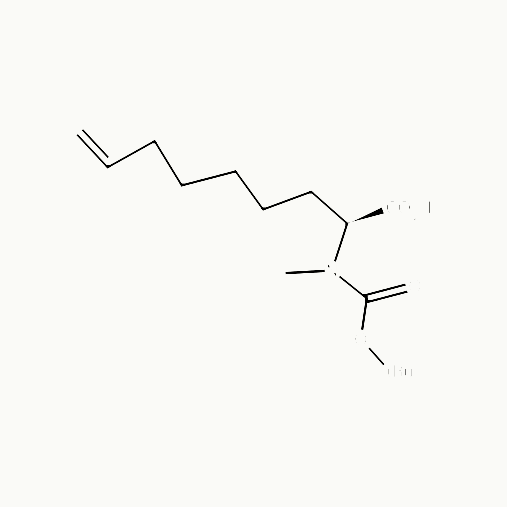 C=CCCCCC[C@@H](C(=O)O)N(C)C(=O)OC(C)(C)C